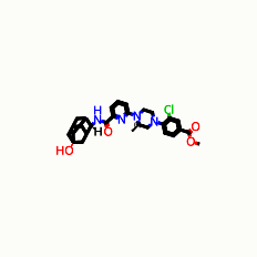 COC(=O)c1ccc(N2CCN(c3cccc(C(=O)N[C@H]4C5CC6CC4C[C@](O)(C6)C5)n3)[C@H](C)C2)c(Cl)c1